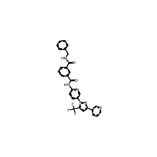 O=C(NCc1ccccc1)c1cccc(C(=O)Nc2ccc(-n3nc(-c4cccnc4)cc3C(F)(F)F)cn2)c1